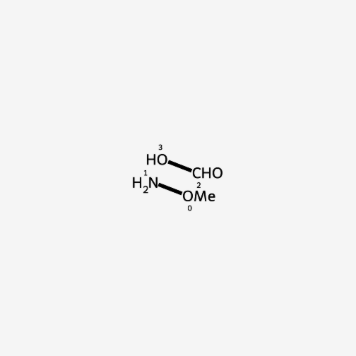 CON.O=CO